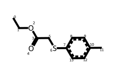 CCOC(=O)CSc1ccc(C)cc1